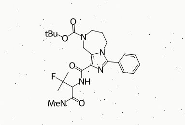 CNC(=O)C(NC(=O)c1nc(-c2ccccc2)n2c1CN(C(=O)OC(C)(C)C)CCC2)C(C)(C)F